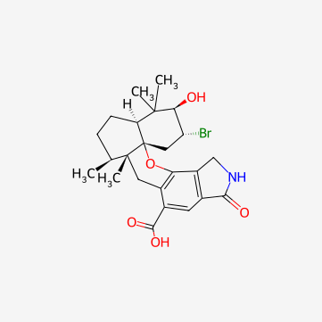 C[C@H]1CC[C@H]2C(C)(C)[C@@H](O)[C@H](Br)C[C@]23Oc2c(c(C(=O)O)cc4c2CNC4=O)C[C@]13C